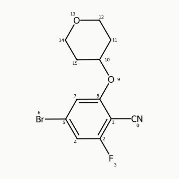 N#Cc1c(F)cc(Br)cc1OC1CCOCC1